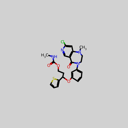 CNC(=O)OCCC(Oc1cccc(N2CCN(C)c3cc(Cl)ncc3C2=O)c1)c1cccs1